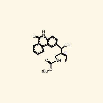 CC(C)(C)OC(=O)NC/C(=C\F)C(O)c1ccc2[nH]c(=O)c3ccccc3c2c1